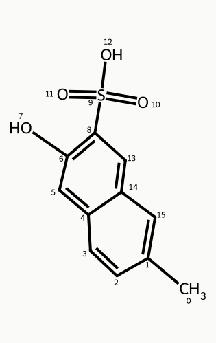 Cc1ccc2cc(O)c(S(=O)(=O)O)cc2c1